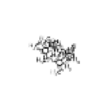 CCc1cc(CC)cc(P(C(C)(C)C)C(C)(C)C)c1.CCc1cc(CC)cc(P(C(C)(C)C)C(C)(C)C)c1.[Cl][Pd][Cl]